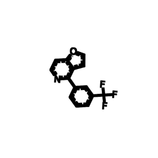 FC(F)(F)c1cccc(-c2nccc3occc23)c1